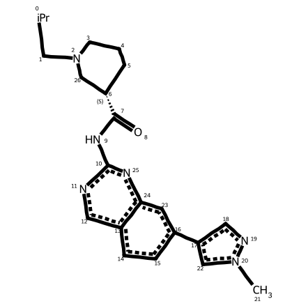 CC(C)CN1CCC[C@H](C(=O)Nc2ncc3ccc(-c4cnn(C)c4)cc3n2)C1